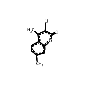 Cc1ccc2c(C)c(Cl)c(=O)oc2c1